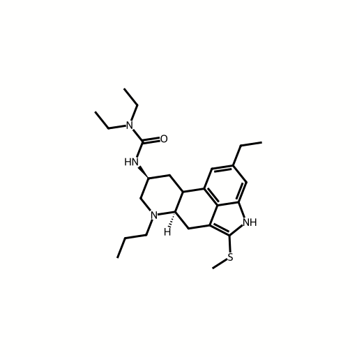 CCCN1C[C@@H](NC(=O)N(CC)CC)CC2c3cc(CC)cc4[nH]c(SC)c(c34)C[C@H]21